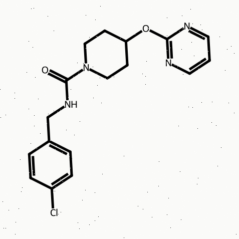 O=C(NCc1ccc(Cl)cc1)N1CCC(Oc2ncccn2)CC1